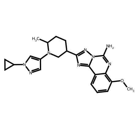 COc1cccc2c1nc(N)n1nc(C3CCC(C)N(c4cnn(C5CC5)c4)C3)nc21